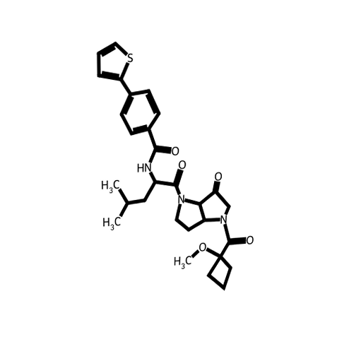 COC1(C(=O)N2CC(=O)C3C2CCN3C(=O)C(CC(C)C)NC(=O)c2ccc(-c3cccs3)cc2)CCC1